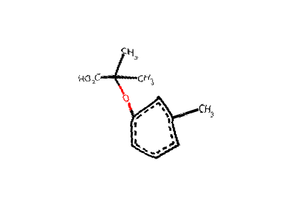 Cc1cccc(OC(C)(C)C(=O)O)c1